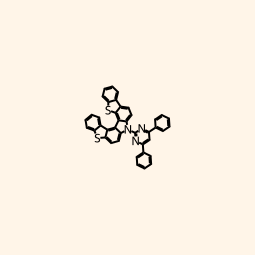 c1ccc(-c2cc(-c3ccccc3)nc(-n3c4ccc5c6ccccc6sc5c4c4c5c(ccc43)sc3ccccc35)n2)cc1